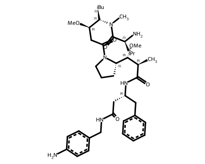 CC[C@H](C)[C@@H]([C@@H](CC(=O)N1CCC[C@H]1[C@H](OC)[C@@H](C)C(=O)N[C@@H](CC(=O)NCc1ccc(N)cc1)Cc1ccccc1)OC)N(C)C(=O)[C@@H](N)C(C)C